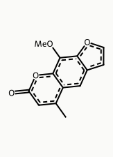 COc1c2occc2cc2c(C)cc(=O)oc12